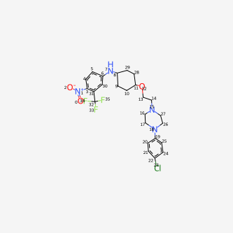 O=[N+]([O-])c1ccc(NC2CCC(OCCN3CCN(c4ccc(Cl)cc4)CC3)CC2)cc1C(F)(F)F